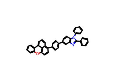 c1ccc(-c2nc3cc(-c4ccc(-c5ccc6c7c(cccc57)-c5ccccc5O6)cc4)ccc3n2-c2ccccc2)cc1